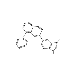 Cc1n[nH]c2ncc(-c3ccc4nccc(-c5ccncc5)c4c3)cc12